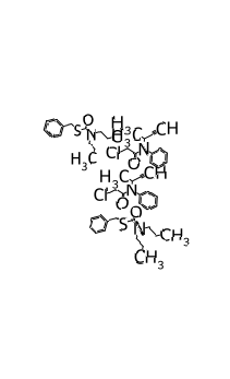 C#CC(C)N(C(=O)CCl)c1ccccc1.C#CC(C)N(C(=O)CCl)c1ccccc1.CCCN(CCC)C(=O)SCc1ccccc1.CCCN(CCC)C(=O)SCc1ccccc1